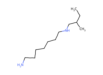 CCC(C)CNCCCCCCCN